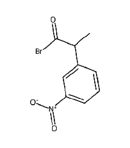 CC(C(=O)Br)c1cccc([N+](=O)[O-])c1